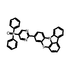 O=P(c1ccccc1)(c1ccccc1)c1cnc(-c2ccc3c(c2)Sc2cccc4c5ccccc5n-3c24)nc1